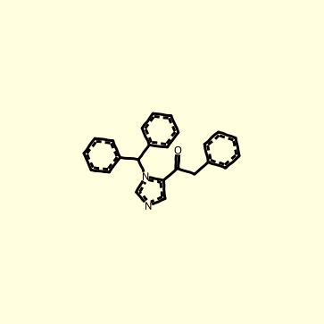 O=C(Cc1ccccc1)c1cncn1C(c1ccccc1)c1ccccc1